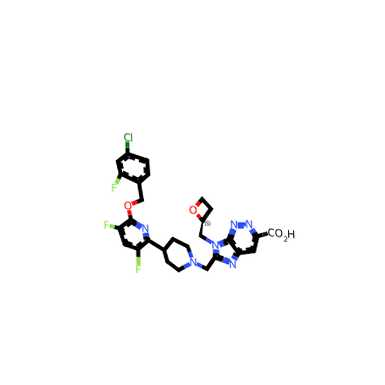 O=C(O)c1cc2nc(CN3CCC(c4nc(OCc5ccc(Cl)cc5F)c(F)cc4F)CC3)n(C[C@@H]3CCO3)c2nn1